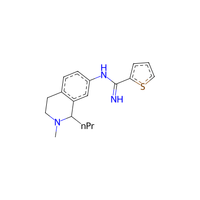 CCCC1c2cc(NC(=N)c3cccs3)ccc2CCN1C